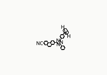 N#Cc1ccc2c(ccc3cc(-c4nc(-c5ccccc5)nc(-c5ccc(C67CC8C[C@H](C6)C[C@@H](C8)C7)cc5)n4)ccc32)c1